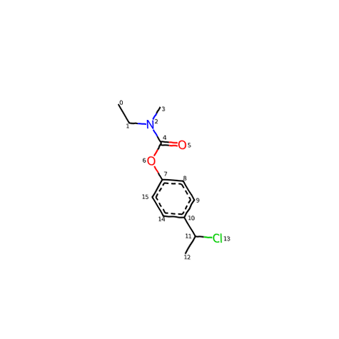 CCN(C)C(=O)Oc1ccc(C(C)Cl)cc1